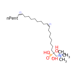 CCCCC/C=C\CCCCCCC/C=C\CCCCCCCC(O)(C[N+](C)(C)C)P(=O)(O)O